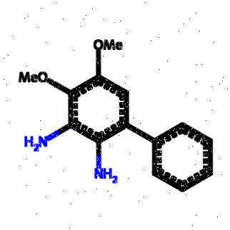 COc1cc(-c2ccccc2)c(N)c(N)c1OC